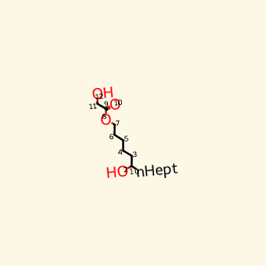 CCCCCCCC(O)CCCCCOC(=O)CO